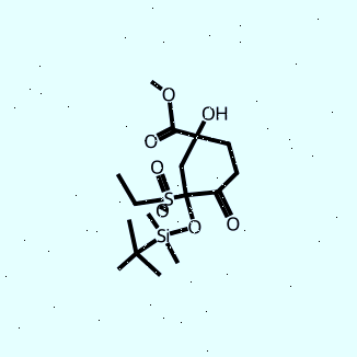 CCS(=O)(=O)C1(O[Si](C)(C)C(C)(C)C)CC(O)(C(=O)OC)CCC1=O